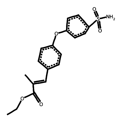 CCOC(=O)/C(C)=C/c1ccc(Oc2ccc(S(N)(=O)=O)cc2)cc1